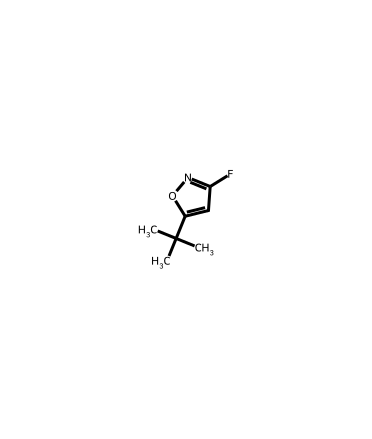 CC(C)(C)c1cc(F)no1